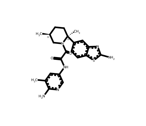 Cc1cc(NC(=O)C(=O)N2C[C@@H](C)CC[C@@]2(C)c2ccc3sc(N)nc3c2)cnc1N